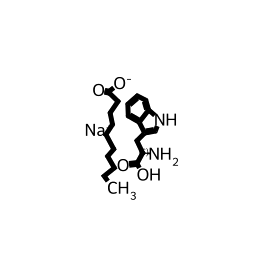 CCCCCCCCCC(=O)[O-].N[C@@H](Cc1c[nH]c2ccccc12)C(=O)O.[Na+]